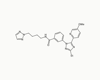 CCc1nc(-c2ccc(OC)cn2)n(-c2cccc(C(=O)NCCCCn3nccn3)c2)n1